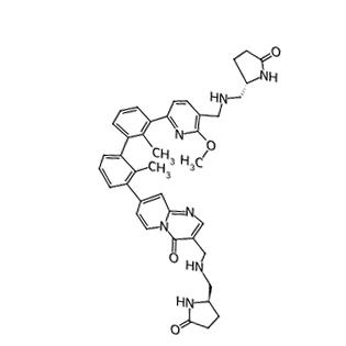 COc1nc(-c2cccc(-c3cccc(-c4ccn5c(=O)c(CNC[C@H]6CCC(=O)N6)cnc5c4)c3C)c2C)ccc1CNC[C@@H]1CCC(=O)N1